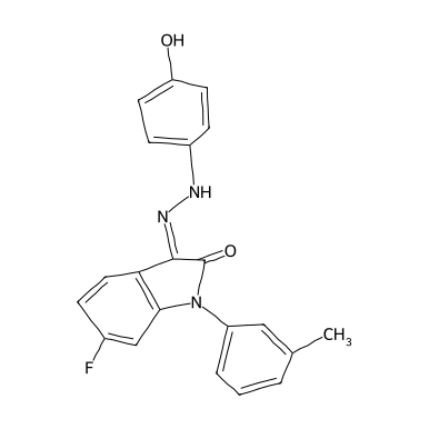 Cc1cccc(N2C(=O)/C(=N\Nc3ccc(O)cc3)c3ccc(F)cc32)c1